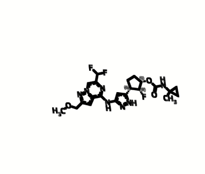 COCc1cc2c(Nc3cc([C@@H]4CC[C@H](OC(=O)NC5(C)CC5)[C@@H]4F)[nH]n3)nc(C(F)F)cn2n1